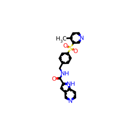 Cc1ccncc1S(=O)(=O)c1ccc(CNC(=O)c2cc3cnccc3[nH]2)cc1